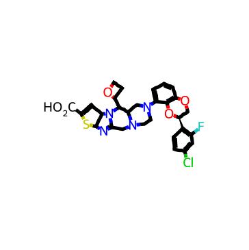 O=C(O)C1=CC2C(N=C3CN4CCN(c5cccc6c5O[C@H](c5ccc(Cl)cc5F)CO6)CC4C(C4CCO4)N32)S1